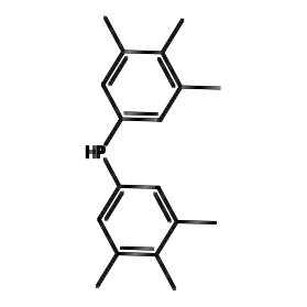 Cc1cc(Pc2cc(C)c(C)c(C)c2)cc(C)c1C